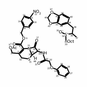 CC(=O)OCC1=C(C(=O)OCc2ccc([N+](=O)[O-])cc2)N2C(=O)C(NC(=O)COc3ccccc3)[C@H]2SC1.CCCCCCCC[S+]([O-])C(C)Cc1ccc2c(c1)OCO2